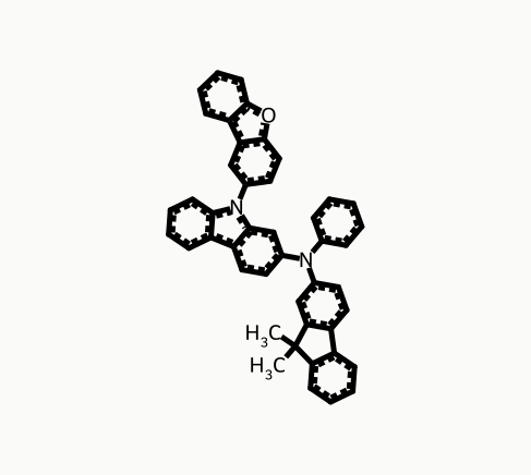 CC1(C)c2ccccc2-c2ccc(N(c3ccccc3)c3ccc4c5ccccc5n(-c5ccc6oc7ccccc7c6c5)c4c3)cc21